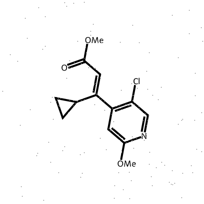 COC(=O)/C=C(/c1cc(OC)ncc1Cl)C1CC1